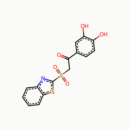 O=C(CS(=O)(=O)c1nc2ccccc2s1)c1ccc(O)c(O)c1